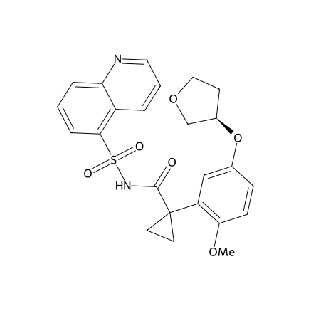 COc1ccc(O[C@@H]2CCOC2)cc1C1(C(=O)NS(=O)(=O)c2cccc3ncccc23)CC1